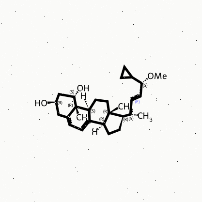 CO[C@H](/C=C/[C@H](C)[C@H]1CC[C@H]2C3=CC=C4C[C@@H](O)C[C@H](O)[C@]4(C)[C@H]3CC[C@]12C)C1CC1